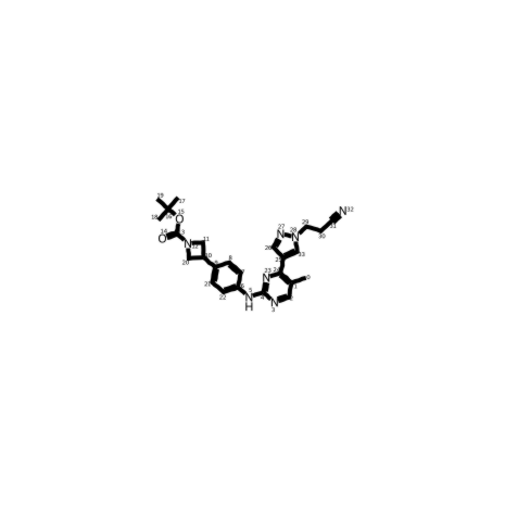 Cc1cnc(Nc2ccc(C3CN(C(=O)OC(C)(C)C)C3)cc2)nc1-c1cnn(CCC#N)c1